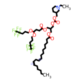 CCCCC/C=C\C/C=C\CCCCCCCC(=O)OCC(COC(=O)CCC(OCCCC(F)(F)C(F)(F)F)OCCCC(F)(F)C(F)(F)F)COC(=O)OCC1CCCN(CC)C1